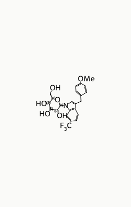 COc1ccc(Cc2cn([C@@H]3O[C@H](CO)[C@@H](O)[C@H](O)[C@H]3O)c3cc(C(F)(F)F)ccc23)cc1